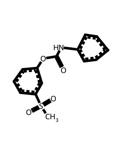 CS(=O)(=O)c1cccc(OC(=O)Nc2ccccc2)c1